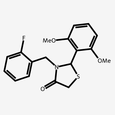 COc1cccc(OC)c1C1SCC(=O)N1Cc1ccccc1F